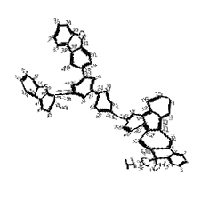 CC1(C)c2ccccc2-c2cc3c4ccccc4c4cc(-c5ccc(-c6cc(-c7ccc8oc9ccccc9c8c7)cc(-c7cccc8c7sc7ccccc78)c6)cc5)ccc4c3cc21